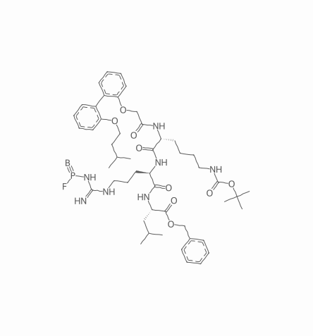 B#P(F)NC(=N)NCCC[C@@H](NC(=O)[C@@H](CCCCNC(=O)OC(C)(C)C)NC(=O)COc1ccccc1-c1ccccc1OCCC(C)C)C(=O)N[C@@H](CC(C)C)C(=O)OCc1ccccc1